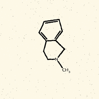 CN1[CH]c2ccccc2CC1